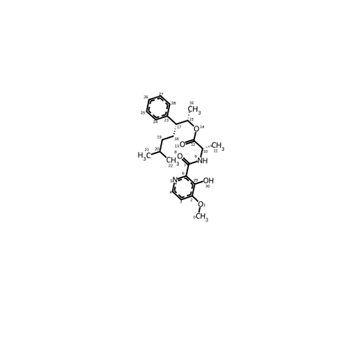 COc1ccnc(C(=O)N[C@@H](C)C(=O)O[C@@H](C)[C@H](CCC(C)C)c2ccccc2)c1O